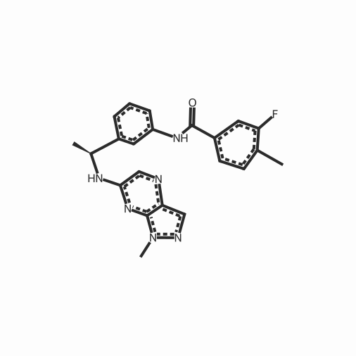 Cc1ccc(C(=O)Nc2cccc([C@H](C)Nc3cnc4cnn(C)c4n3)c2)cc1F